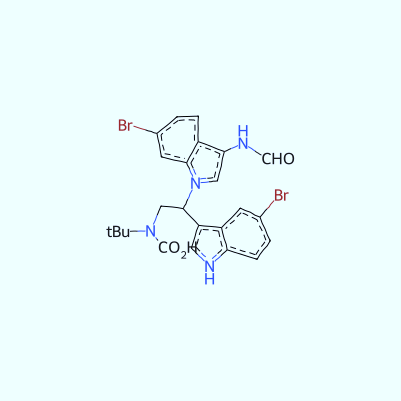 CC(C)(C)N(CC(c1c[nH]c2ccc(Br)cc12)n1cc(NC=O)c2ccc(Br)cc21)C(=O)O